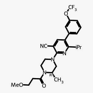 COCCC(=O)N1CCN(c2nc(C(C)C)c(-c3cccc(OC(F)(F)F)c3)cc2C#N)C[C@H]1C